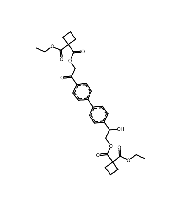 CCOC(=O)C1(C(=O)OCC(=O)c2ccc(-c3ccc(C(O)COC(=O)C4(C(=O)OCC)CCC4)cc3)cc2)CCC1